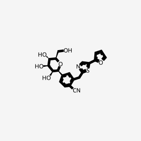 N#Cc1ccc([C@@H]2O[C@H](CO)[C@@H](O)[C@H](O)[C@@H]2O)cc1Cc1ncc(-c2ccco2)s1